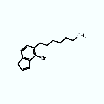 CCCCCCCc1ccc2c(c1Br)C=CC2